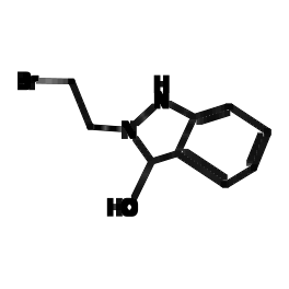 OC1c2ccccc2NN1CCBr